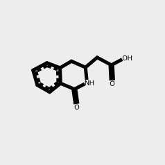 O=C(O)CC1Cc2ccccc2C(=O)N1